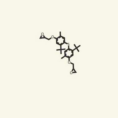 Cc1cc(Sc2cc(C)c(OCC3CO3)cc2C(C)(C)C)c(C(C)(C)C)cc1OCC1CO1